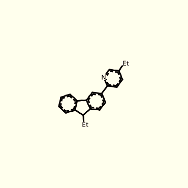 CCc1ccc(-c2ccc3c(c2)-c2ccccc2C3CC)nc1